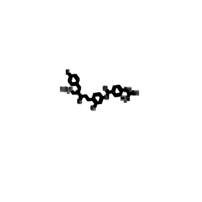 N=C(N)Nc1ccc(C(=O)Oc2ccc(CCC(=O)N(CC(=O)O)Cc3ccc(F)cc3)c(Cl)c2)cc1